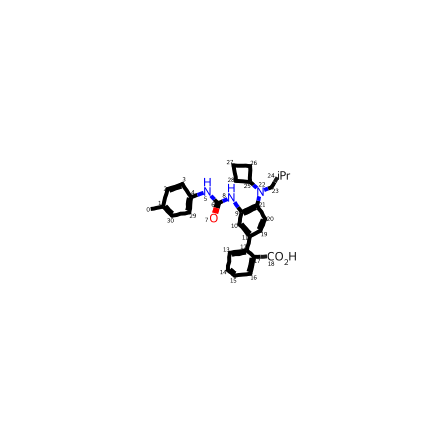 Cc1ccc(NC(=O)Nc2cc(-c3ccccc3C(=O)O)ccc2N(CC(C)C)C2CCC2)cc1